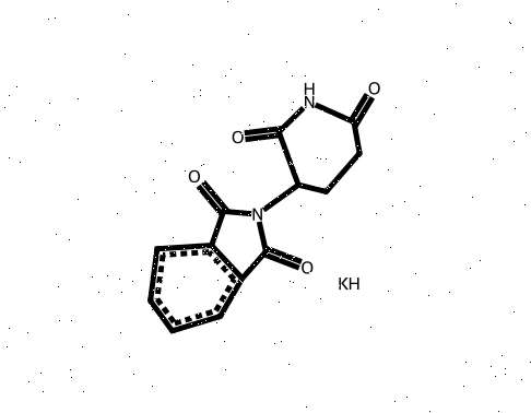 O=C1CCC(N2C(=O)c3ccccc3C2=O)C(=O)N1.[KH]